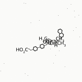 CN(C[C@H](O)CNC(C)(C)Cc1ccc2ccccc2c1)S(=O)(=O)Cc1ccc(-c2ccc(CCC(=O)O)cc2)cc1